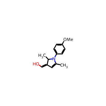 COc1ccc(N2C(C)=CC(=CO)C2C)cc1